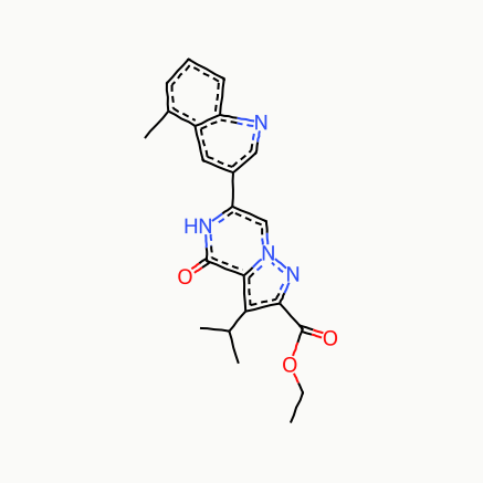 CCOC(=O)c1nn2cc(-c3cnc4cccc(C)c4c3)[nH]c(=O)c2c1C(C)C